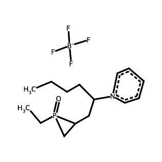 CCCCC(CC1CP1(=O)CC)[n+]1ccccc1.F[B-](F)(F)F